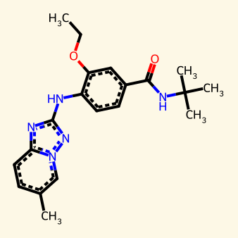 CCOc1cc(C(=O)NC(C)(C)C)ccc1Nc1nc2ccc(C)cn2n1